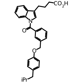 CC(C)Cc1ccc(OCc2cccc(C(=O)n3cc(CCCC(=O)O)c4ccccc43)c2)cc1